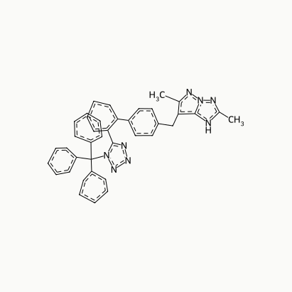 Cc1nn2nc(C)c(Cc3ccc(-c4ccccc4-c4nnnn4C(c4ccccc4)(c4ccccc4)c4ccccc4)cc3)c2[nH]1